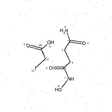 NC(=O)CCC(=O)NO.O=C(O)CI